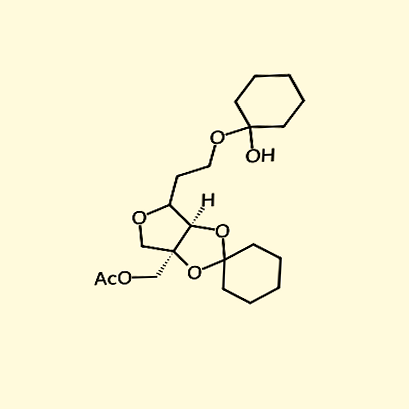 CC(=O)OC[C@]12COC(CCOC3(O)CCCCC3)[C@H]1OC1(CCCCC1)O2